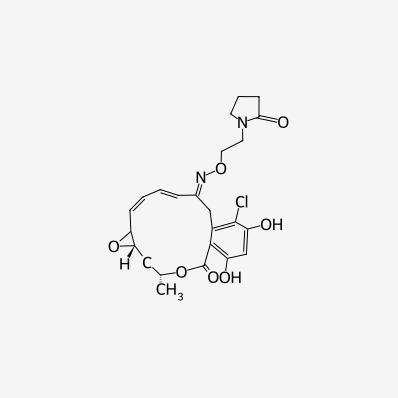 C[C@@H]1C[C@@H]2OC2\C=C/C=C/C(=N/OCCN2CCCC2=O)Cc2c(Cl)c(O)cc(O)c2C(=O)O1